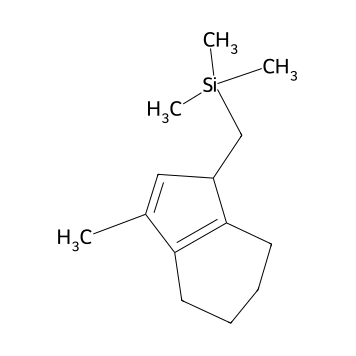 CC1=CC(C[Si](C)(C)C)C2=C1CCCC2